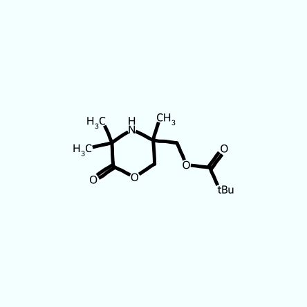 CC1(COC(=O)C(C)(C)C)COC(=O)C(C)(C)N1